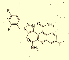 Cc1c(-c2c(C(N)=O)nc3cc(F)ccc3c2C(N)=O)nnn1Cc1ccc(F)cc1F